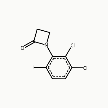 O=C1CCN1c1c(I)ccc(Cl)c1Cl